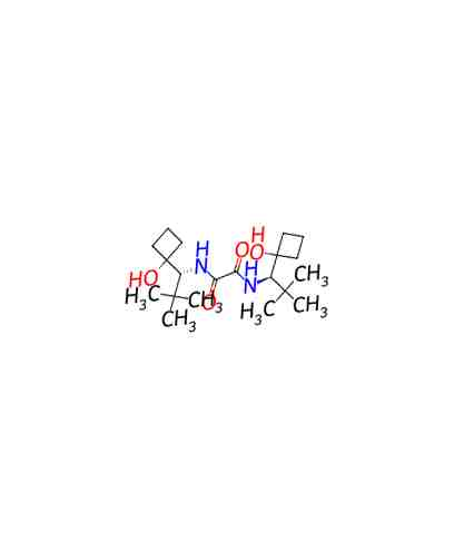 CC(C)(C)[C@@H](NC(=O)C(=O)N[C@H](C(C)(C)C)C1(O)CCC1)C1(O)CCC1